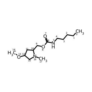 CCCCCNC(=O)OCC1CC(OC)CN1C